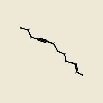 CC=CCCC[CH]C#CCCC